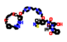 Cc1ncsc1-c1ccc(CNC(=O)[C@@H]2C[C@@H](O)CN2C(=O)[C@H](C(C)C)N2Cc3ccccc3C2=O)c(OCCN2CCN(CCCN3CCN(CCOc4ccc5cc4COC/C=C/COCc4cccc(c4)-c4ccnc(n4)N5)CC3)CC2)c1